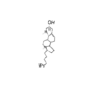 CC(C)CCCCC1CCC2C3CC=C4C[C@@H](O)C[C@@H](C)C4C3CC[C@]12C